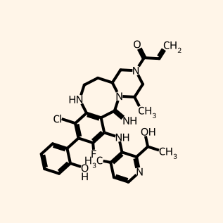 C=CC(=O)N1CC(C)N2C(=N)c3c(Nc4c(C)ccnc4C(C)O)c(F)c(-c4ccccc4O)c(Cl)c3NCCC2C1